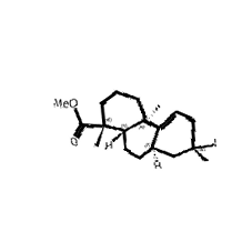 COC(=O)[C@]1(C)CCC[C@@]2(C)C3=CC[C@](C)(I)C[C@H]3CC[C@H]12